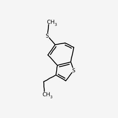 CCc1csc2ccc(SC)cc12